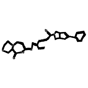 C=CC(/C=C/C(=O)N1CC2C=C(c3ccccc3)CC2C1)=C\N=C1/CCN2CCSCC2C(=O)N1